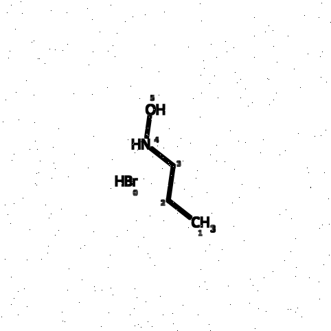 Br.CCCNO